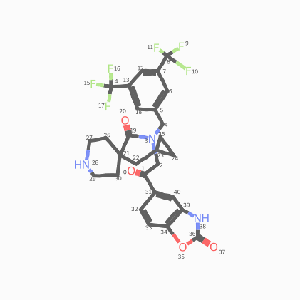 O=C(CN(Cc1cc(C(F)(F)F)cc(C(F)(F)F)c1)C(=O)C1(CC2CC2)CCNCC1)c1ccc2oc(=O)[nH]c2c1